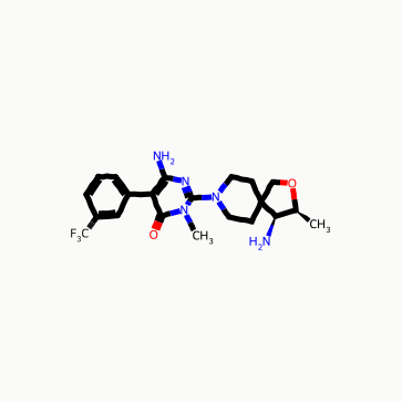 C[C@@H]1OCC2(CCN(c3nc(N)c(-c4cccc(C(F)(F)F)c4)c(=O)n3C)CC2)[C@@H]1N